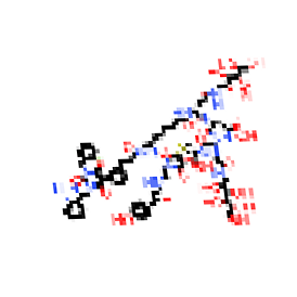 Cc1c(-c2cccc(CCC(=O)NCCCCCCCC(=O)N[C@H](CCC(=O)NC[C@H](O)[C@@H](O)[C@H](O)[C@H](O)CO)C(=O)N[C@H](CCC(=O)O)C(=O)N[C@H](CCC(=O)NC[C@H](O)[C@@H](O)[C@H](O)[C@H](O)CO)C(=O)N[C@H](CSC3=CC(=O)N(CCNC(=O)CCc4ccc(O)cc4)C3=O)C(=O)O)c2)c(=O)n(C[C@@H](N)c2ccccc2)c(=O)n1Cc1c(F)cccc1F